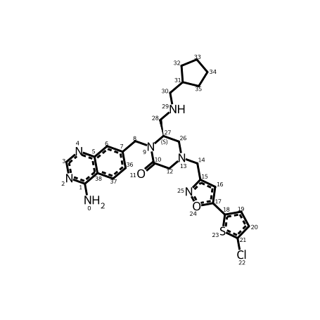 Nc1ncnc2cc(CN3C(=O)CN(Cc4cc(-c5ccc(Cl)s5)on4)C[C@@H]3CNCC3CCCC3)ccc12